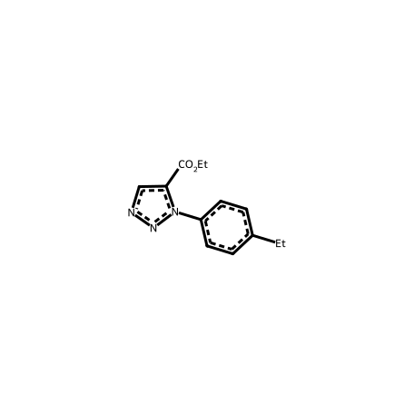 CCOC(=O)c1cnnn1-c1ccc(CC)cc1